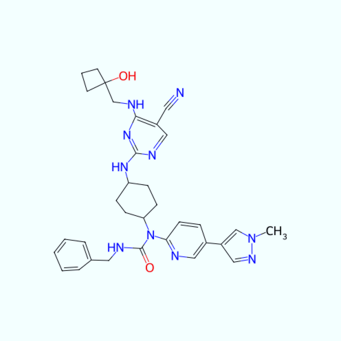 Cn1cc(-c2ccc(N(C(=O)NCc3ccccc3)C3CCC(Nc4ncc(C#N)c(NCC5(O)CCC5)n4)CC3)nc2)cn1